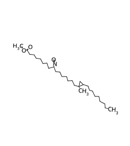 CCCCCCCCCC1CC1(C)CCCCCCCC(CCCCCCCC(=O)OC)N=O